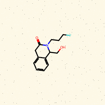 O=C1Cc2ccccc2C(CO)N1CCCF